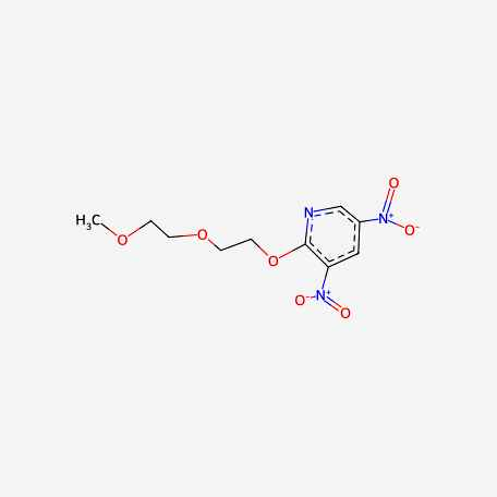 COCCOCCOc1ncc([N+](=O)[O-])cc1[N+](=O)[O-]